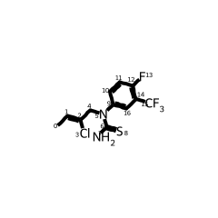 C/C=C(\Cl)CN(C(N)=S)c1ccc(F)c(C(F)(F)F)c1